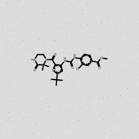 COC(=O)c1ccc(NC(=O)Nc2cc(C(C)(C)C)sc2C(=O)N2CCNC(=O)C2(C)C)c(Cl)c1